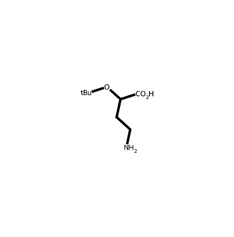 CC(C)(C)OC(CCN)C(=O)O